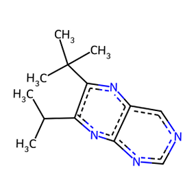 CC(C)c1nc2ncncc2nc1C(C)(C)C